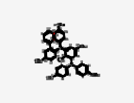 CC(C)(C)c1ccc(N(c2ccc(C(C)(C)C)cc2)c2cc(C(C)(C)C)cc(N(c3ccc(C(C)(C)C)cc3)c3ccc(C(C)(C)C)cc3-c3ccccc3)c2Cl)cc1